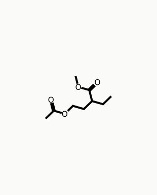 CCC(CCOC(C)=O)C(=O)OC